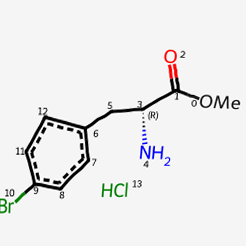 COC(=O)[C@H](N)Cc1ccc(Br)cc1.Cl